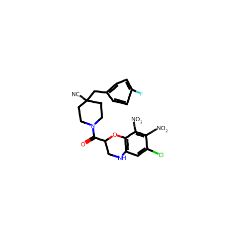 N#CC1(Cc2ccc(F)cc2)CCN(C(=O)C2CNc3cc(Cl)c([N+](=O)[O-])c([N+](=O)[O-])c3O2)CC1